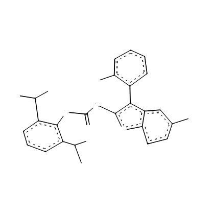 CC(C)c1cccc(C(C)C)c1NC(=O)Nc1oc2ccc(Cl)cc2c1-c1ccccc1F